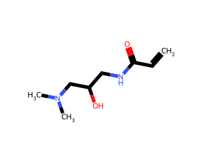 C=CC(=O)NCC(O)CN(C)C